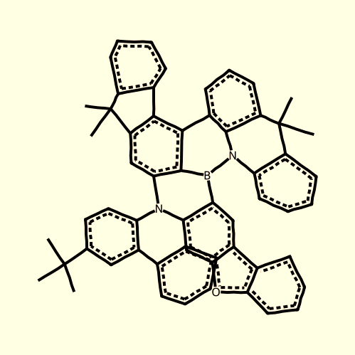 CC(C)(C)c1ccc(N2c3cc4oc5ccccc5c4cc3B3c4c2cc2c(c4-c4cccc5c4N3c3ccccc3C5(C)C)-c3ccccc3C2(C)C)c(-c2ccccc2)c1